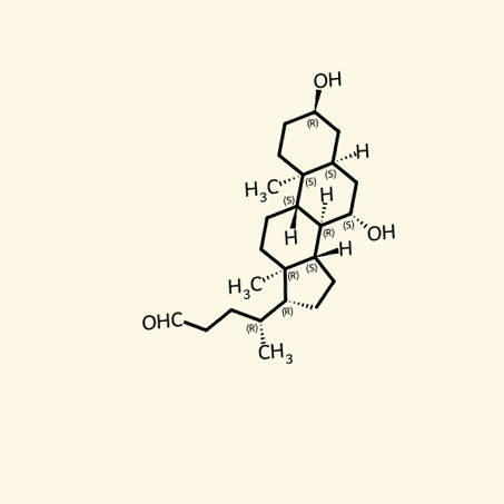 C[C@H](CCC=O)[C@H]1CC[C@H]2[C@@H]3[C@@H](O)C[C@@H]4C[C@H](O)CC[C@]4(C)[C@H]3CC[C@]12C